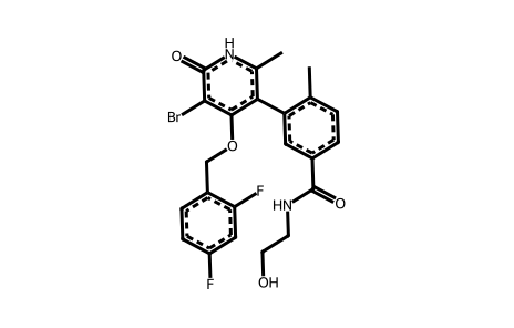 Cc1ccc(C(=O)NCCO)cc1-c1c(C)[nH]c(=O)c(Br)c1OCc1ccc(F)cc1F